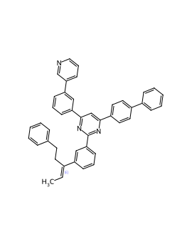 C/C=C(\CCc1ccccc1)c1cccc(-c2nc(-c3ccc(-c4ccccc4)cc3)cc(-c3cccc(-c4cccnc4)c3)n2)c1